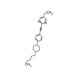 CCCCCC1CCC(c2ccc(C#Cc3ncc(CC)cn3)cc2)CC1